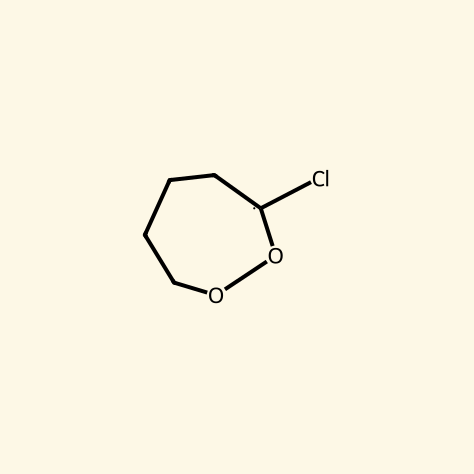 Cl[C]1CCCCOO1